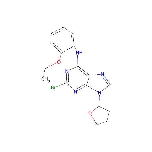 CCOc1ccccc1Nc1nc(Br)nc2c1ncn2C1CCCO1